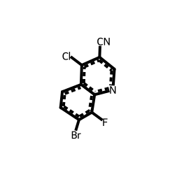 N#Cc1cnc2c(F)c(Br)ccc2c1Cl